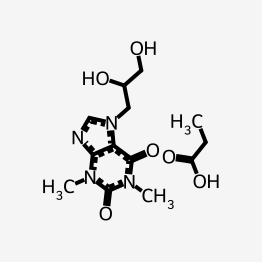 CCC(=O)O.Cn1c(=O)c2c(ncn2CC(O)CO)n(C)c1=O